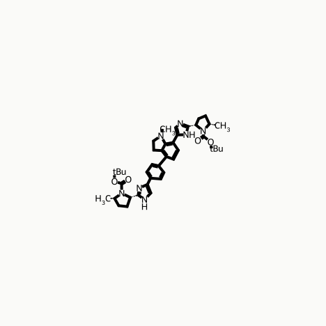 C[C@H]1CC[C@@H](c2nc(-c3ccc(-c4ccc(-c5cnc([C@@H]6CC[C@H](C)N6C(=O)OC(C)(C)C)[nH]5)c5c4CCN5C)cc3)c[nH]2)N1C(=O)OC(C)(C)C